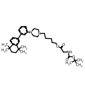 CC(C)(C)OC(=O)NCC(=O)OCCCCCN1CCN(c2cccc(-c3ccc4c(c3)C(C)(C)CCC4(C)C)c2)CC1